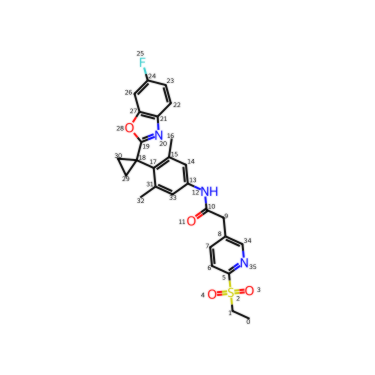 CCS(=O)(=O)c1ccc(CC(=O)Nc2cc(C)c(C3(c4nc5ccc(F)cc5o4)CC3)c(C)c2)cn1